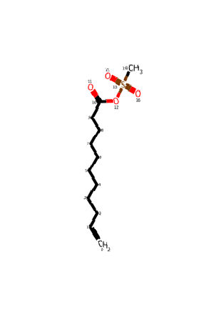 C=CCCCCCCCCC(=O)OS(C)(=O)=O